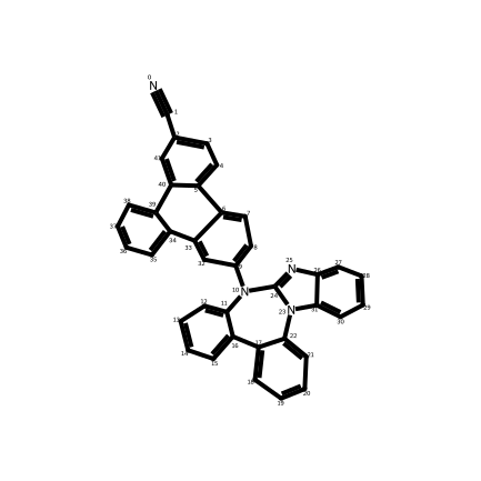 N#Cc1ccc2c3ccc(N4c5ccccc5-c5ccccc5-n5c4nc4ccccc45)cc3c3ccccc3c2c1